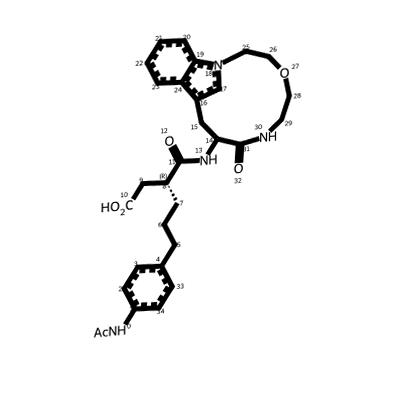 CC(=O)Nc1ccc(CCC[C@H](CC(=O)O)C(=O)NC2Cc3cn(c4ccccc34)CCOCCNC2=O)cc1